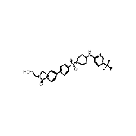 O=C1c2ccc(-c3ccc(S(=O)(=O)N4CCC(Nc5ccc(C(F)(F)F)cn5)CC4)cc3)cc2CN1CCO